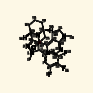 Cn1nc2c(c1-c1cc(F)c(F)c(F)c1)C[C@H]1CCC[C@@H]2N1C(=O)c1ncnc2c1ccn2C